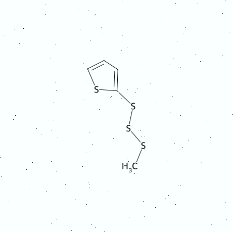 CSSSc1cccs1